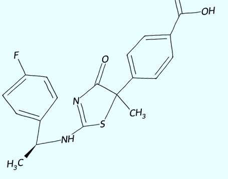 C[C@H](NC1=NC(=O)C(C)(c2ccc(C(=O)O)cc2)S1)c1ccc(F)cc1